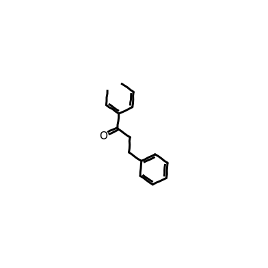 C/C=C\C(=C/C)C(=O)CCc1ccccc1